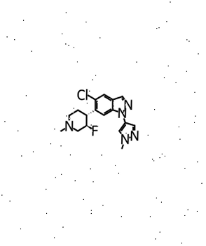 CN1CC[C@H](c2cc3c(cnn3-c3cnn(C)c3)cc2Cl)[C@@H](F)C1